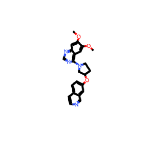 COc1cc2ncnc(N3CCC(Oc4ccc5ccncc5c4)C3)c2cc1OC